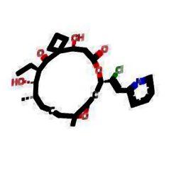 CC[C@H]1C(=O)C2(CCC2)[C@@H](O)CC(=O)O[C@H](C(Cl)=Cc2ccccn2)CC2OC2(C)CCC[C@H](C)[C@@H]1O